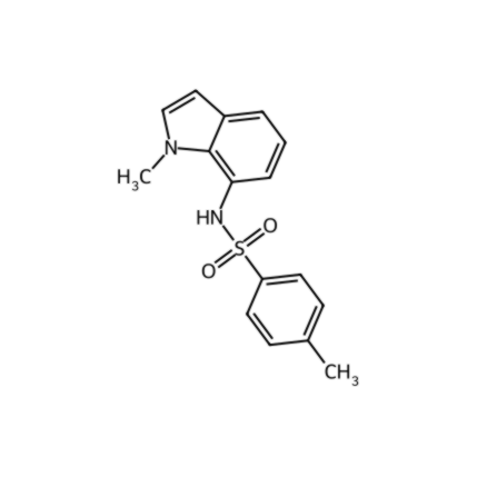 Cc1ccc(S(=O)(=O)Nc2cccc3ccn(C)c23)cc1